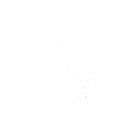 COCCOCCN[C@H]1CCN(CC(c2ccccc2)N(C)C(=O)Cc2ccc(Cl)c(Cl)c2)C1.Cl